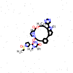 C=C[S+]([O-])N1CC[C@H](C(=O)N(C)[C@H](C(=O)N[C@H]2Cc3cccc(c3)-c3ccc4c(c3)c(c(-c3cncnc3)n4CC)CC(C)(C)COC(=O)[C@@H]3CCCN(N3)C2=O)C(C)C)C1